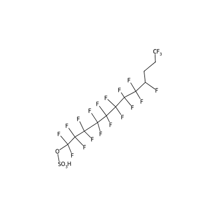 O=S(=O)(O)OC(F)(F)C(F)(F)C(F)(F)C(F)(F)C(F)(F)C(F)(F)C(F)(F)C(F)(F)C(F)CCC(F)(F)F